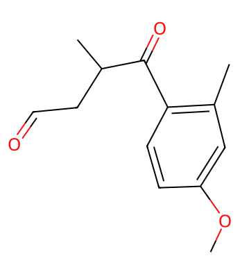 COc1ccc(C(=O)C(C)CC=O)c(C)c1